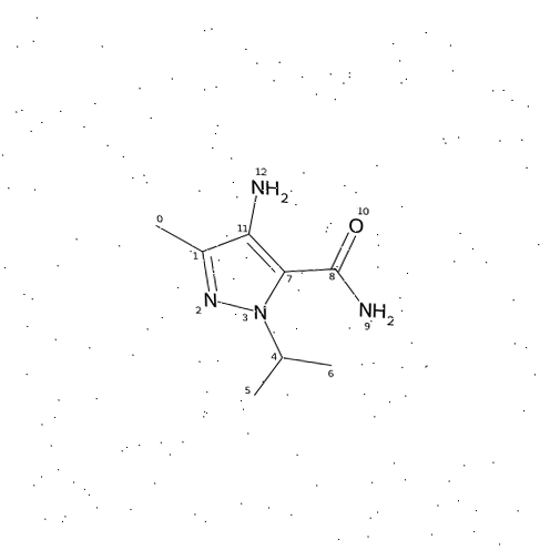 Cc1nn(C(C)C)c(C(N)=O)c1N